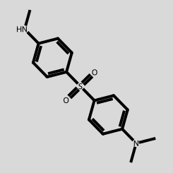 CNc1ccc(S(=O)(=O)c2ccc(N(C)C)cc2)cc1